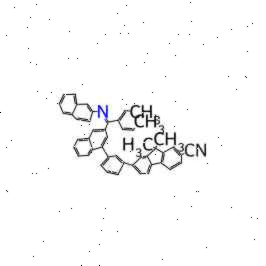 C\C=C/C(=C\C)C(=N/c1ccc2ccccc2c1)/c1cc(-c2cccc(-c3ccc4c(c3)C(C)(C)c3cc(C#N)ccc3-4)c2)c2ccccc2c1